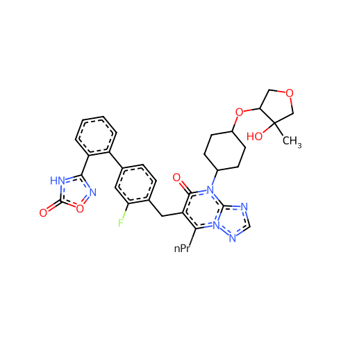 CCCc1c(Cc2ccc(-c3ccccc3-c3noc(=O)[nH]3)cc2F)c(=O)n(C2CCC(OC3COCC3(C)O)CC2)c2ncnn12